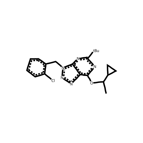 CC(Oc1nc(C(C)(C)C)nc2c1nnn2Cc1ccccc1Cl)C1CC1